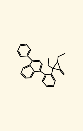 C=C1C(CC)C1(CC)c1ccccc1-c1ncc(-c2ccccc2)c2ccccc12